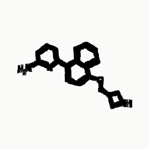 Nc1cccc(-c2ccc(OCC3CNC3)c3ccccc23)n1